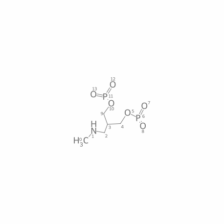 CNCC(COP(=O)=O)COP(=O)=O